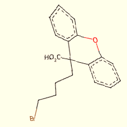 O=C(O)C1(CCCCBr)c2ccccc2Oc2ccccc21